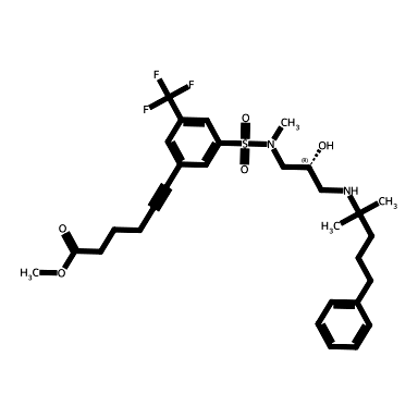 COC(=O)CCCC#Cc1cc(C(F)(F)F)cc(S(=O)(=O)N(C)C[C@H](O)CNC(C)(C)CCCc2ccccc2)c1